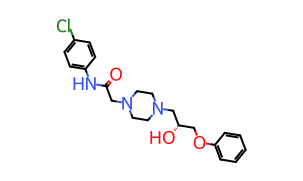 O=C(CN1CCN(C[C@@H](O)COc2ccccc2)CC1)Nc1ccc(Cl)cc1